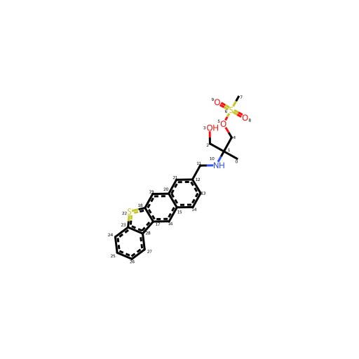 CC(CO)(COS(C)(=O)=O)NCc1ccc2cc3c(cc2c1)sc1ccccc13